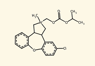 CC(C)OC(=O)OC[N+]1(C)CC2c3ccccc3Oc3ccc(Cl)cc3C2C1